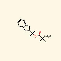 CC(C)(C(=O)O)C(=O)OC(C)(C)C1Cc2ccccc2C1